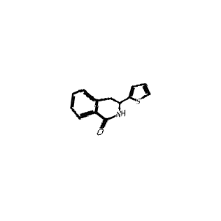 O=C1NC(c2cccs2)Cc2ccccc21